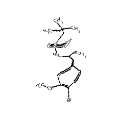 COc1cc(C(C)NS(=O)(=O)C(C)(C)C)ccc1Br